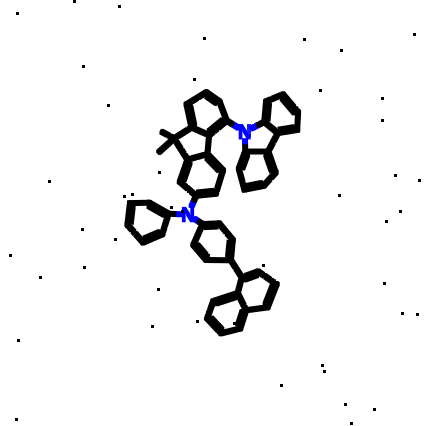 CC1(C)c2cc(N(c3ccccc3)c3ccc(-c4cccc5ccccc45)cc3)ccc2-c2c(-n3c4ccccc4c4ccccc43)cccc21